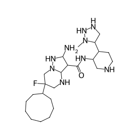 CN1NNCC1C1CCNCC1NC(=O)C1C(N)NN2CC(F)(C3CCCCCCCC3)CNC12